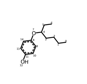 CCCCC(CC)Oc1ccc(O)cc1